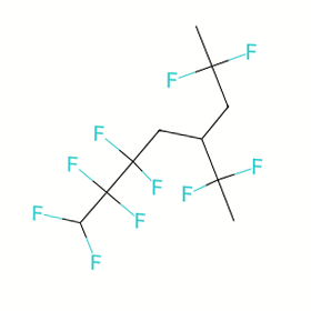 CC(F)(F)CC(CC(F)(F)C(F)(F)C(F)F)C(C)(F)F